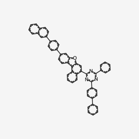 c1ccc(-c2ccc(-c3nc(-c4ccccc4)nc(-c4cc5oc6cc(-c7ccc(-c8ccc9ccccc9c8)cc7)ccc6c5c5ccccc45)n3)cc2)cc1